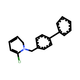 ClC1=CC=CCN1Cc1ccc(-c2ccccc2)cc1